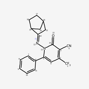 N#Cc1c(C(F)(F)F)cc(-c2ccccc2)n(/N=C2\CC3CCC2C3)c1=O